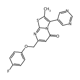 Cc1sc2nc(COc3ccc(F)cc3)cc(=O)n2c1-c1cncnc1